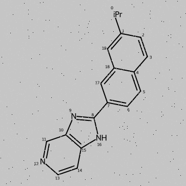 CC(C)c1ccc2ccc(-c3nc4cnccc4[nH]3)cc2c1